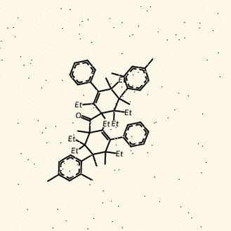 CCC1=C(c2ccccc2)C(C)(CC)C(C)(c2ccc(C)cc2C)C(CC)(CC)C1(C)C(=O)C1(C)C(CC)=C(c2ccccc2)C(C)(CC)C(C)(c2ccc(C)cc2C)C1(CC)CC